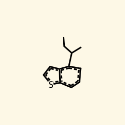 CCC(C)c1cccc2sccc12